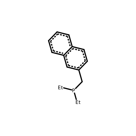 CCP(CC)Cc1ccc2ccccc2c1